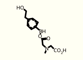 CN(CC(=O)O)CC(=O)OBc1ccc(CCO)cc1